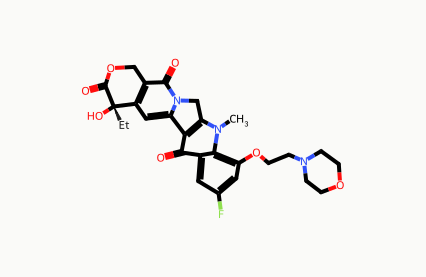 CC[C@@]1(O)C(=O)OCc2c1cc1n(c2=O)Cc2c-1c(=O)c1cc(F)cc(OCCN3CCOCC3)c1n2C